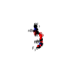 CCCCC(Oc1ccc(CCC(=O)OC(=O)CCc2ccc(OC(CCCC)c3cccc(-c4ccc(C(F)(F)F)cc4)n3)c(OCC)c2)cc1CCC)c1cccc(-c2ccc(C(F)(F)F)cc2)n1